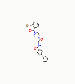 O=C(NCC(=O)N1CCN(C(=O)c2ccccc2Br)CC1)c1ccc(-c2ccccc2)cc1